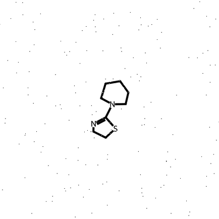 [CH]1CSC(N2CCCCC2)=N1